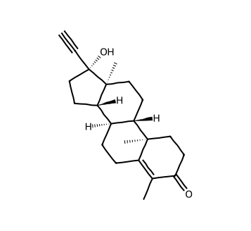 C#C[C@]1(O)CC[C@H]2[C@@H]3CCC4=C(C)C(=O)CC[C@]4(C)[C@H]3CC[C@@]21C